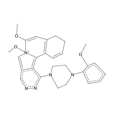 COC1=CC2=C(C=CCC2)C2=c3c(N4CCN(c5ccccc5OC)CC4)nncc3=C[N+]12OC